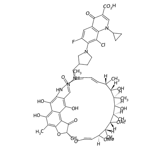 CO[C@H]1/C=C/O[C@@]2(C)Oc3c(C)c(O)c4c(O)c(c(/C=N/NCC5CCN(c6c(F)cc7c(=O)c(C(=O)O)cn(C8CC8)c7c6Cl)C5)c(O)c4c3C2=O)NC(=O)/C(C)=C\C=C\[C@H](C)[C@H](O)[C@@H](C)[C@@H](O)[C@@H](C)[C@H](OC(C)=O)[C@@H]1C